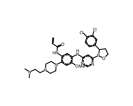 C=CC(=O)Nc1cc(Nc2cc(N3OCCC3c3ccc(Cl)c(Cl)c3)ncn2)c(OC)cc1N1CCN(CCN(C)C)CC1